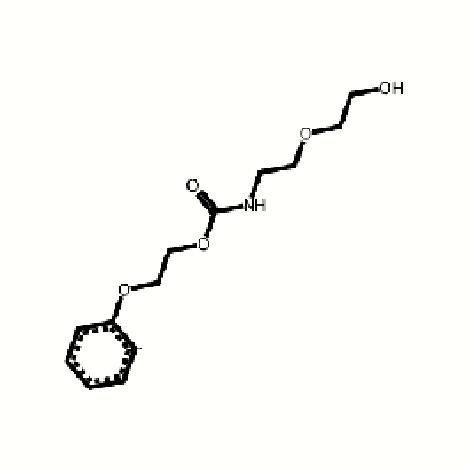 O=C(NCCOCCO)OCCOc1[c]cccc1